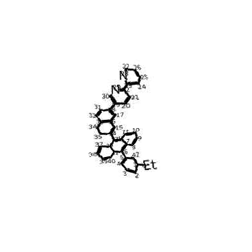 CCC1C=CC=C(C2=c3ccccc3=C(C3=Cc4cc(-c5ccc(-c6ccccn6)nc5)ccc4CC3)C3C=CC=CC23)C1